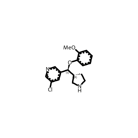 COc1ccccc1O[C@H](c1cncc(Cl)c1)[C@@H]1CCNC1